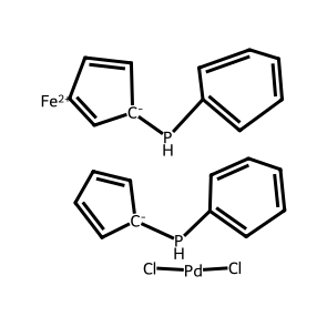 [Cl][Pd][Cl].[Fe+2].c1ccc(P[c-]2cccc2)cc1.c1ccc(P[c-]2cccc2)cc1